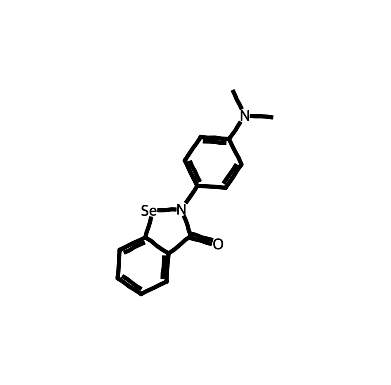 CN(C)c1ccc(-n2[se]c3ccccc3c2=O)cc1